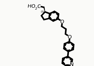 O=C(O)C[C@@H]1CCc2cc(OCCCOc3ccc(-c4cccnc4)cc3)ccc21